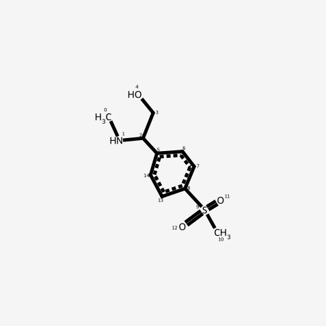 CNC(CO)c1ccc(S(C)(=O)=O)cc1